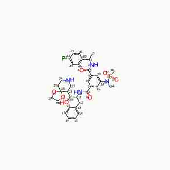 CC(NC(=O)c1cc(C(=O)NC(Cc2ccccc2)C(O)C2CNCCC23OCCO3)cc(N(C)S(C)(=O)=O)c1)c1ccc(F)cc1